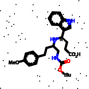 COc1ccc(CCC(CNC(=O)OC(C)(C)C)N[C@H](CCC(=O)O)c2c[nH]c3ccccc23)cc1